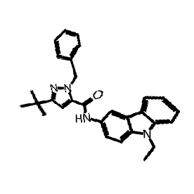 CCn1c2ccccc2c2cc(NC(=O)c3cc(C(C)(C)C)nn3Cc3ccccc3)ccc21